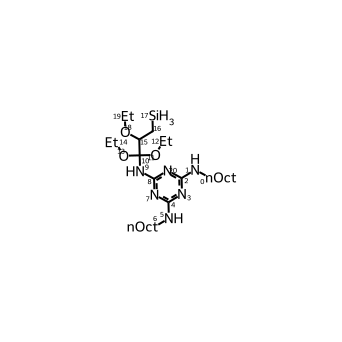 CCCCCCCCNc1nc(NCCCCCCCC)nc(NC(OCC)(OCC)C(C[SiH3])OCC)n1